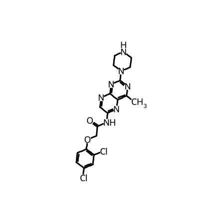 Cc1nc(N2CCNCC2)nc2ncc(NC(=O)COc3ccc(Cl)cc3Cl)nc12